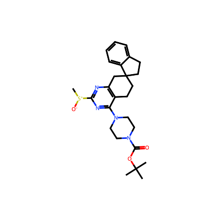 C[S+]([O-])c1nc2c(c(N3CCN(C(=O)OC(C)(C)C)CC3)n1)CCC1(CCc3ccccc31)C2